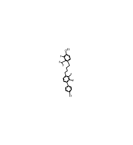 CCOc1ccc(CCCCc2ccc(-c3ccc(CC)cc3)c(F)c2F)c(C(F)F)c1F